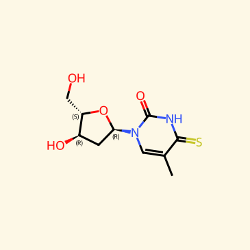 Cc1cn([C@H]2C[C@@H](O)[C@H](CO)O2)c(=O)[nH]c1=S